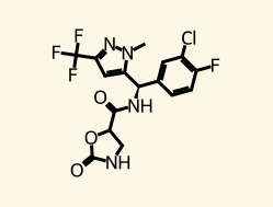 Cn1nc(C(F)(F)F)cc1[C@H](NC(=O)C1CNC(=O)O1)c1ccc(F)c(Cl)c1